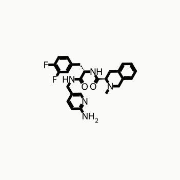 CN1Cc2ccccc2C[C@@H]1C(=O)N[C@@H](Cc1ccc(F)c(F)c1)C(=O)NCc1ccc(N)nc1